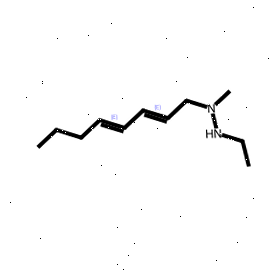 CCC/C=C/C=C/CN(C)NCC